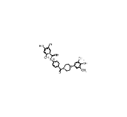 Cc1cc(N2CCN(C(=O)c3ccc(NC(=N)c4cc(C(C)C)c(O)cc4O)cc3)CC2)cc(C)c1O